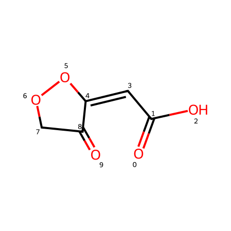 O=C(O)C=C1OOCC1=O